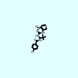 CC(C)(C)C(NC(=O)c1ccc(Cl)cc1)N/C(=N/[N+](=O)[O-])Nc1cccnc1